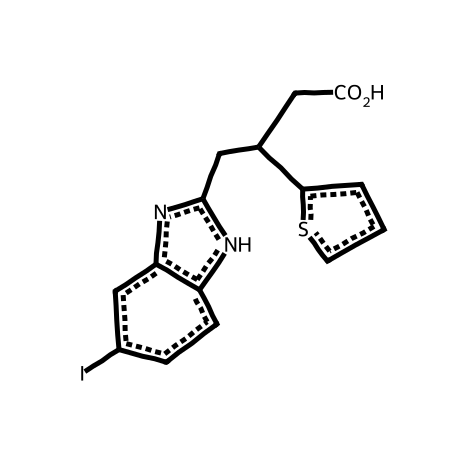 O=C(O)CC(Cc1nc2cc(I)ccc2[nH]1)c1cccs1